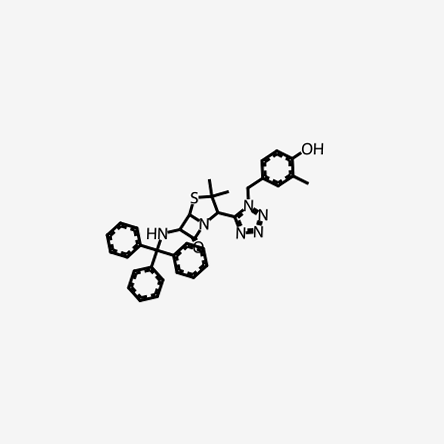 Cc1cc(Cn2nnnc2C2N3C(=O)C(NC(c4ccccc4)(c4ccccc4)c4ccccc4)C3SC2(C)C)ccc1O